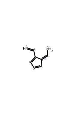 N=CC1=CC=C/C1=C/N